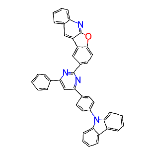 c1ccc(-c2cc(-c3ccc(-n4c5ccccc5c5ccccc54)cc3)nc(-c3ccc4oc5nc6ccccc6cc5c4c3)n2)cc1